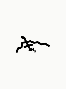 C=CC(CCCC)(CCCCCC)C(C)(C)[SiH3]